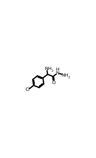 NNC(=O)C(N)c1ccc(Cl)cc1